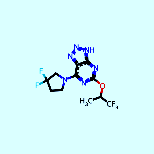 CC(Oc1nc(N2CCC(F)(F)C2)c2nn[nH]c2n1)C(F)(F)F